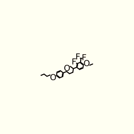 CCCCOc1ccc(C2CCC(c3ccc(OCC)c(C(F)F)c3F)CO2)cc1